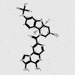 Cc1ncn2c1c(N)nc1cnc(C(=O)N3C[C@H](C)C[C@@H]4Oc5cc(OC(F)(F)F)ccc5[C@@H]43)cc12